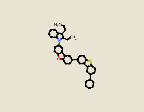 C=Cc1c(/C=C\C)c2ccccc2n1-c1ccc2oc3ccc(-c4ccc5sc6ccc(-c7ccccc7)cc6c5c4)cc3c2c1